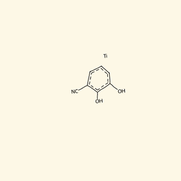 N#Cc1cccc(O)c1O.[Ti]